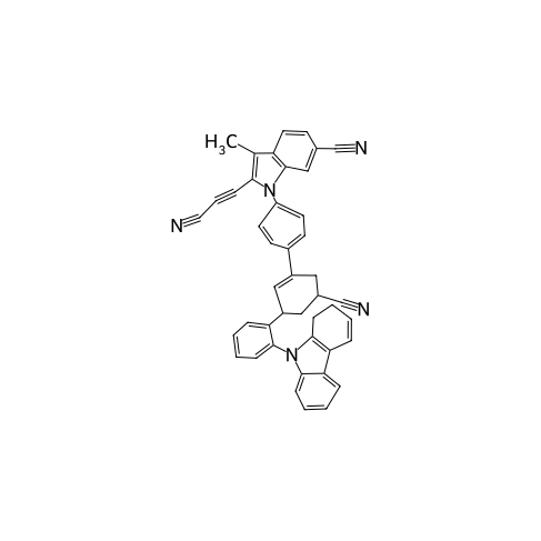 Cc1c(C#CC#N)n(-c2ccc(C3=CC(c4ccccc4-n4c5c(c6ccccc64)C=CCC5)CC(C#N)C3)cc2)c2cc(C#N)ccc12